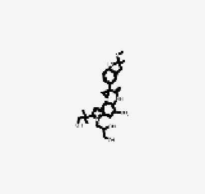 Bc1cc2c(cc1NC(=C)C1(c3ccc4c(c3)CC(C)(SC)N4)CC1)cc(C(C)(C)CO)n2CC(O)CO